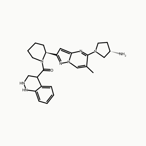 Cc1cn2nc([C@@H]3CCCCN3C(=O)C3CNNc4ccccc43)cc2nc1N1CC[C@H](N)C1